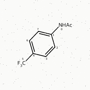 [CH2]C(=O)Nc1ccc(C(F)(F)F)cc1